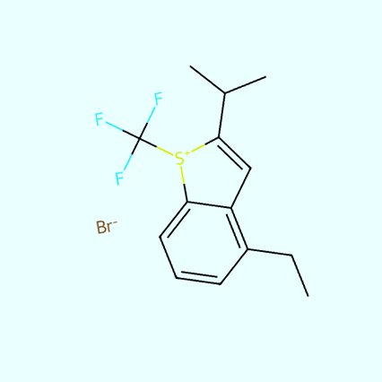 CCc1cccc2c1cc(C(C)C)[s+]2C(F)(F)F.[Br-]